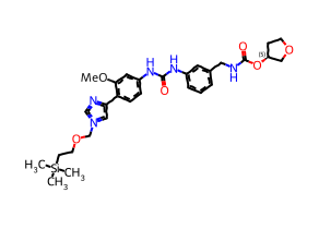 COc1cc(NC(=O)Nc2cccc(CNC(=O)O[C@H]3CCOC3)c2)ccc1-c1cn(COCC[Si](C)(C)C)cn1